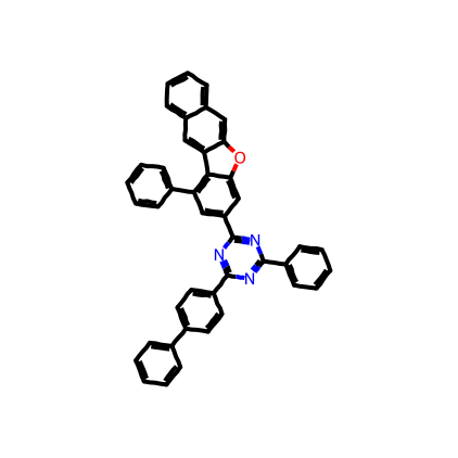 c1ccc(-c2ccc(-c3nc(-c4ccccc4)nc(-c4cc(-c5ccccc5)c5c(c4)oc4cc6ccccc6cc45)n3)cc2)cc1